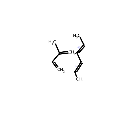 C/C=C/C=C/C.C=CC(=C)C